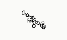 O=C(Nc1ccc(Cl)cc1)C(=O)NC(C(=O)N1CCC(n2ccncc2=O)CC1)c1ccccc1